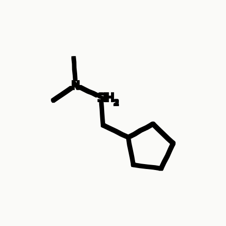 CN(C)[SiH2]CC1CCCC1